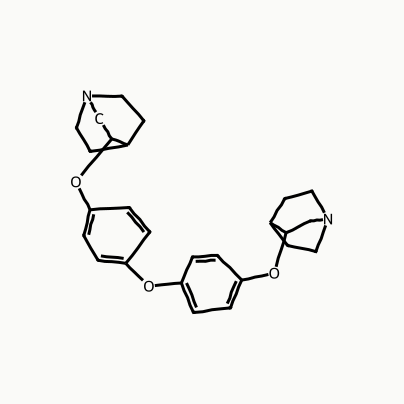 c1cc(OC2CN3CCC2CC3)ccc1Oc1ccc(OC2CN3CCC2CC3)cc1